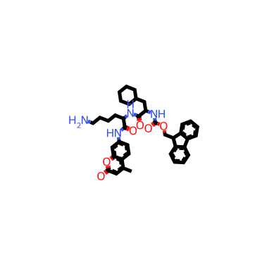 Cc1cc(=O)oc2cc(NC(=O)C(CCCCN)NC(=O)C(CC3CCCCC3)NC(=O)OCC3c4ccccc4-c4ccccc43)ccc12